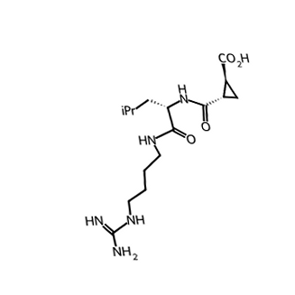 CC(C)C[C@H](NC(=O)[C@H]1C[C@@H]1C(=O)O)C(=O)NCCCCNC(=N)N